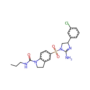 CCCNC(=O)N1CCc2cc(S(=O)(=O)N3CC(c4cccc(Cl)c4)N=C3N)ccc21